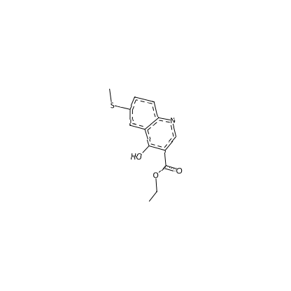 CCOC(=O)c1cnc2ccc(SC)cc2c1O